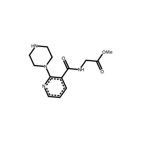 COC(=O)CNC(=O)c1cccnc1N1CCNCC1